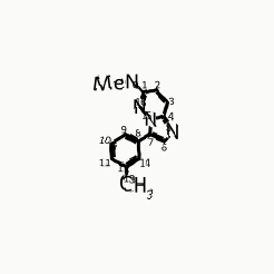 CNc1ccc2ncc(-c3cccc(C)c3)n2n1